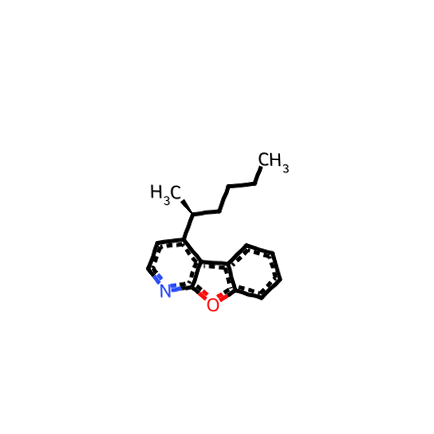 CCCC[C@H](C)c1ccnc2oc3ccccc3c12